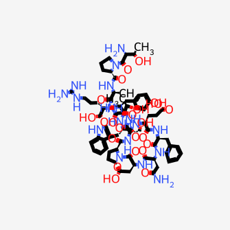 C[C@H](NC(=O)[C@@H]1CCCN1C(=O)[C@@H](N)[C@@H](C)O)C(=O)N[C@@H](Cc1ccc(O)cc1)C(=O)N[C@@H](Cc1c[nH]c2ccccc12)C(=O)N[C@@H](CCC(=O)O)C(=O)N[C@@H](Cc1ccccc1)C(=O)N[C@@H](CC(N)=O)C(=O)N[C@@H](CC(=O)O)C(=O)N1CCC[C@H]1C(=O)N[C@@H](CO)C(=O)N[C@H](C(=O)N[C@@H](CCCNC(=N)N)C(=O)O)[C@@H](C)O